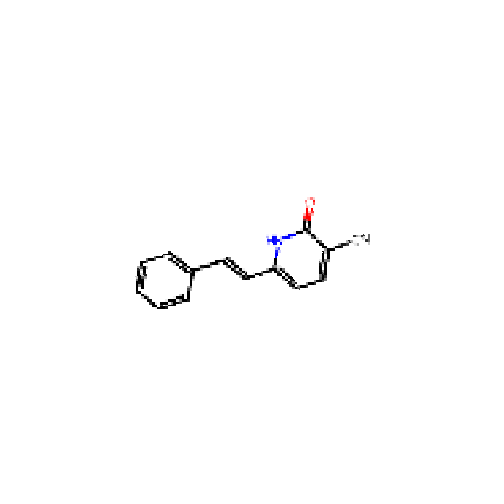 N#Cc1ccc(C=Cc2ccccc2)[nH]c1=O